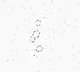 CCc1cc(-c2noc3cc(-c4ncc(N5CCCNCC5)s4)cc(OC)c23)c(OC)c(S(N)(=O)=O)c1.Cl